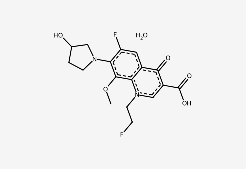 COc1c(N2CCC(O)C2)c(F)cc2c(=O)c(C(=O)O)cn(CCF)c12.O